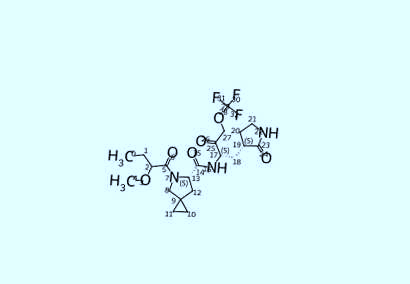 CCC(OC)C(=O)N1CC2(CC2)C[C@H]1C(=O)N[C@@H](C[C@@H]1CCNC1=O)C(=O)COC(F)(F)F